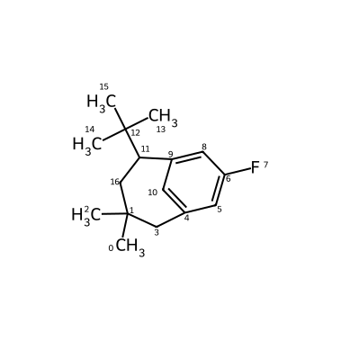 CC1(C)Cc2cc(F)cc(c2)C(C(C)(C)C)C1